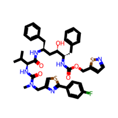 CC(C)[C@H](NC(=O)N(C)Cc1csc(-c2ccc(F)cc2)n1)C(=O)N[C@@H](Cc1ccccc1)C[C@H](O)[C@H](Cc1ccccc1)NC(=O)OCc1ccns1